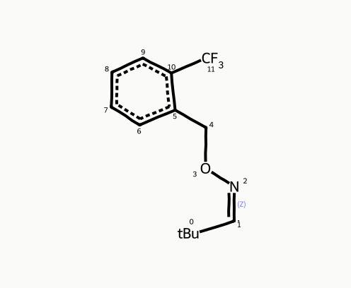 CC(C)(C)/[C]=N\OCc1ccccc1C(F)(F)F